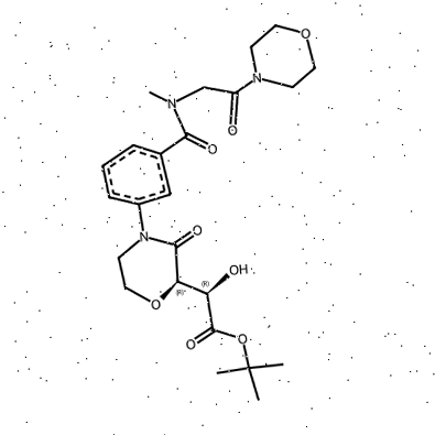 CN(CC(=O)N1CCOCC1)C(=O)c1cccc(N2CCO[C@H]([C@@H](O)C(=O)OC(C)(C)C)C2=O)c1